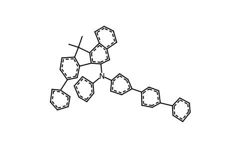 CC1(C)c2ccc(-c3ccccc3)cc2-c2c(N(c3ccccc3)c3ccc(-c4ccc(-c5ccccc5)cc4)cc3)cc3ccccc3c21